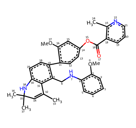 COc1ccccc1NCc1c(-c2ccc(OC(=O)c3cccnc3C)cc2OC)ccc2c1C(C)=CC(C)(C)N2